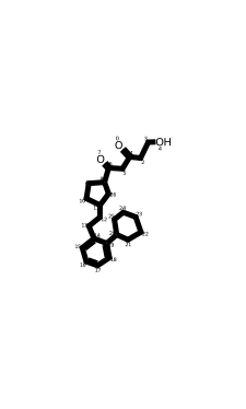 O=C(CCO)CC(=O)C1CCC(CCc2ccccc2C2CCCCC2)C1